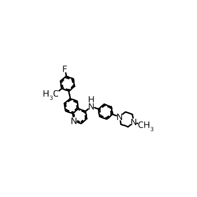 Cc1cc(F)ccc1-c1ccc2nccc(Nc3ccc(N4CCN(C)CC4)cc3)c2c1